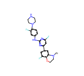 CC(C)N1CCOc2c(F)cc(-c3cc(F)nc(Nc4ccc(N5CCNCC5)c(F)c4)n3)cc21